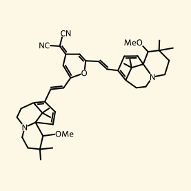 COC1C(C)(C)CCN2CCC3=C(C=CC4=CC(=C(C#N)C#N)C=C(C=CC5=C6CCN7CCC(C)(C)C(OC)C7(C=C5)C6(C)C)O4)C=CC12C3(C)C